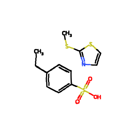 CCc1ccc(S(=O)(=O)O)cc1.CSc1nccs1